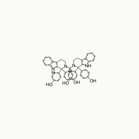 O=C(N1CCc2c([nH]c3ccccc23)C1(c1ccc(O)cc1)c1ccc(O)cc1)N1CCc2c([nH]c3ccccc23)C1(c1ccc(O)cc1)c1ccc(O)cc1